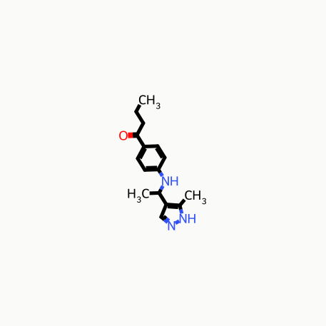 CCCC(=O)c1ccc(NC(C)c2cn[nH]c2C)cc1